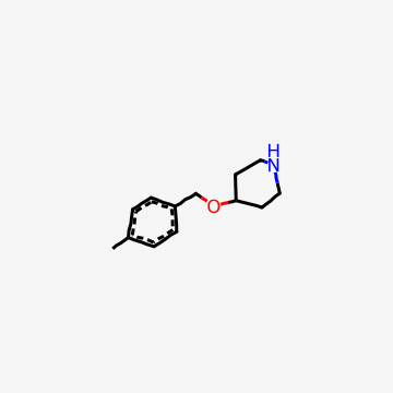 Cc1ccc(COC2CCNCC2)cc1